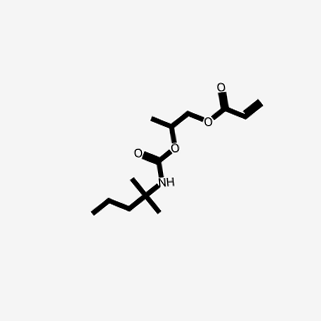 C=CC(=O)OCC(C)OC(=O)NC(C)(C)CCC